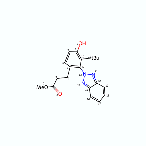 COC(=O)CCc1ccc(O)c(C(C)(C)C)c1-n1nc2ccccc2n1